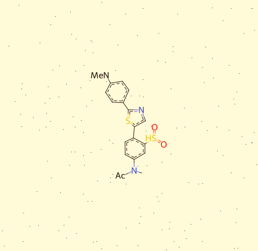 CNc1ccc(-c2ncc(-c3ccc(N(C)C(C)=O)cc3[SH](=O)=O)s2)cc1